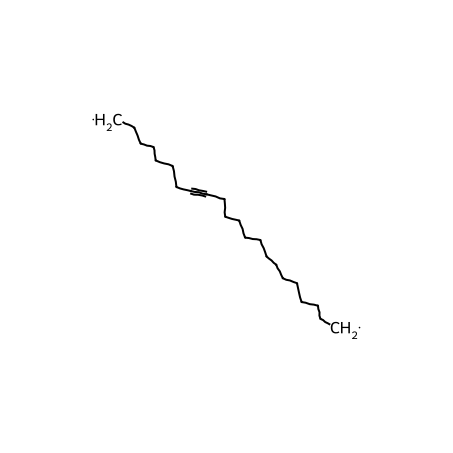 [CH2]CCCCCCC#CCCCCCCCCCCCC[CH2]